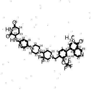 Cn1cc(-c2ccc(CN3CCC(N4CCN(c5ccc(NC6CCC(=O)NC6=O)nc5)CC4)C(F)(F)C3)c(OC(F)(F)F)c2)c2ccncc2c1=O